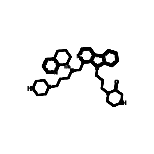 O=C1CNCCN1CCCn1c2ccccc2c2ccnc(CN(CCCN3CCNCC3)[C@H]3CCCc4cccnc43)c21